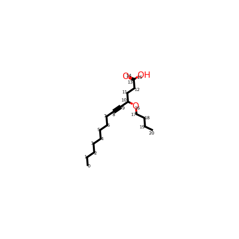 CCCCCCCCC#CC(CCC(=O)O)OCCCC